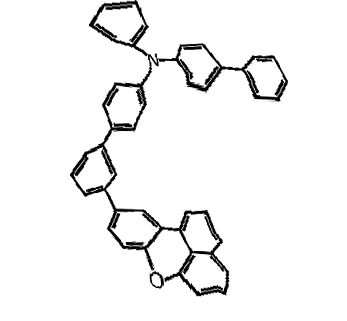 c1ccc(-c2ccc(N(c3ccccc3)c3ccc(-c4cccc(-c5ccc6c(c5)-c5cccc7cccc(c57)O6)c4)cc3)cc2)cc1